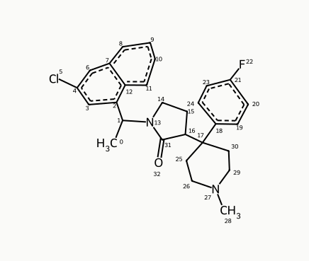 CC(c1cc(Cl)cc2ccccc12)N1CCC(C2(c3ccc(F)cc3)CCN(C)CC2)C1=O